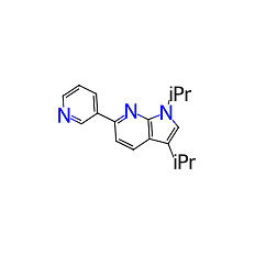 CC(C)c1cn(C(C)C)c2nc(-c3cccnc3)ccc12